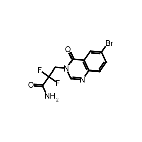 NC(=O)C(F)(F)Cn1cnc2ccc(Br)cc2c1=O